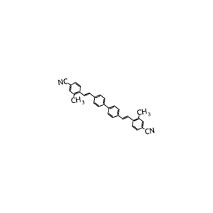 Cc1cc(C#N)ccc1/C=C/c1ccc(-c2ccc(/C=C/c3ccc(C#N)cc3C)cc2)cc1